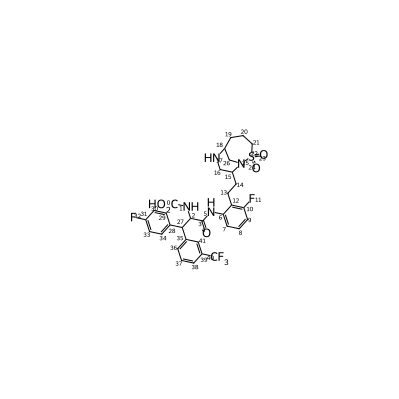 O=C(O)NC(C(=O)Nc1cccc(F)c1CCC1CNC2CCCS(=O)(=O)N1C2)C(c1ccc(F)cc1)c1cccc(C(F)(F)F)c1